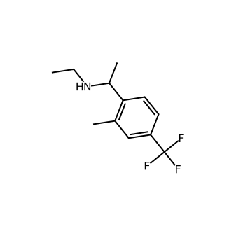 CCNC(C)c1ccc(C(F)(F)F)cc1C